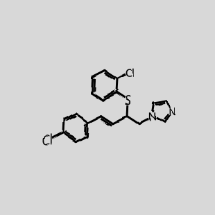 Clc1ccc(C=CC(Cn2ccnc2)Sc2ccccc2Cl)cc1